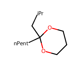 CCCCCC1(CC(C)C)OCCCO1